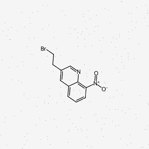 O=[N+]([O-])c1cccc2cc(CCBr)cnc12